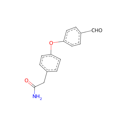 NC(=O)Cc1ccc(Oc2ccc(C=O)cc2)cc1